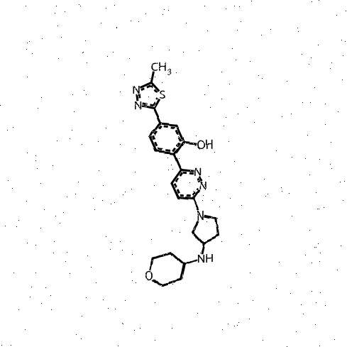 Cc1nnc(-c2ccc(-c3ccc(N4CCC(NC5CCOCC5)C4)nn3)c(O)c2)s1